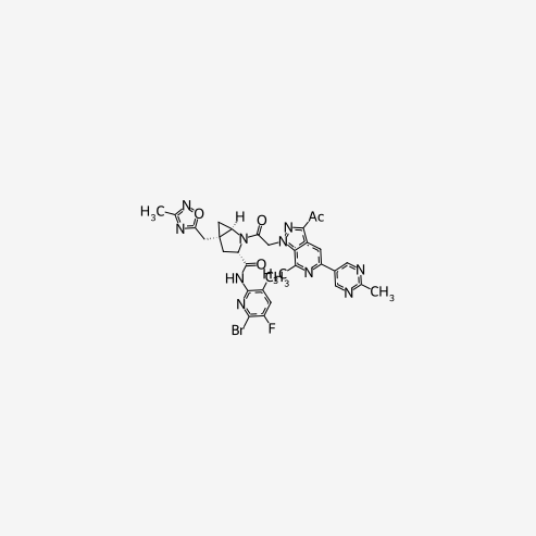 CC(=O)c1nn(CC(=O)N2[C@H](C(=O)Nc3nc(Br)c(F)cc3C)C[C@@]3(Cc4nc(C)no4)C[C@@H]23)c2c(C)nc(-c3cnc(C)nc3)cc12